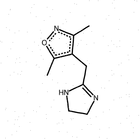 Cc1noc(C)c1CC1=NCCN1